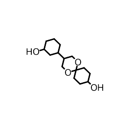 OC1CCC2(CC1)OCC(C1CCCC(O)C1)CO2